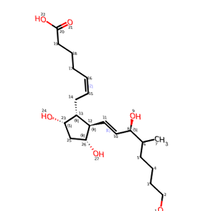 COCCCCC(C)[C@H](O)/C=C/[C@@H]1[C@@H](C/C=C\CCCC(=O)O)[C@@H](O)C[C@H]1O